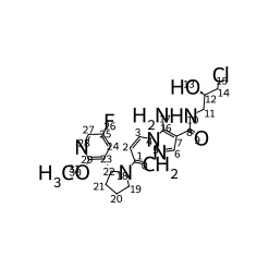 C=C(/C=C\n1ncc(C(=O)NC[C@@H](O)CCl)c1N)N1CCC[C@@H]1c1cc(F)cnc1OC